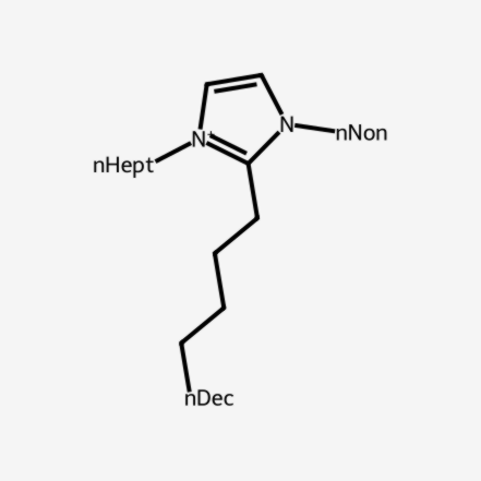 CCCCCCCCCCCCCCc1n(CCCCCCCCC)cc[n+]1CCCCCCC